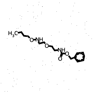 CCCCONCCOCCNC(=O)OCc1ccccc1